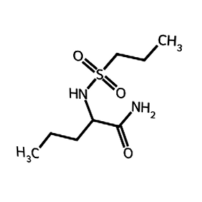 CCCC(NS(=O)(=O)CCC)C(N)=O